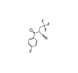 N#CC(CC(F)(F)F)C(=O)c1ccc(F)cc1